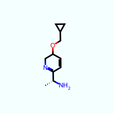 C[C@@H](N)C1=NCC(OCC2CC2)C=C1